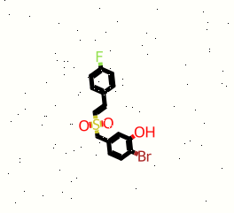 O=S(=O)(C=Cc1ccc(F)cc1)Cc1ccc(Br)c(O)c1